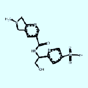 CCS(=O)(=O)c1ccc(C(CO)NC(=O)c2cnc3c(c2)CN(C)C3)nc1